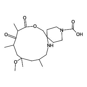 COC1(C)CC(C)CNC2(CCN(C(=O)O)CC2)COC(=O)C(C)C(=O)C(C)C1